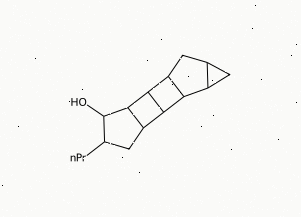 CCCC1CC2C(C1O)C1C3CC4CC4C3C21